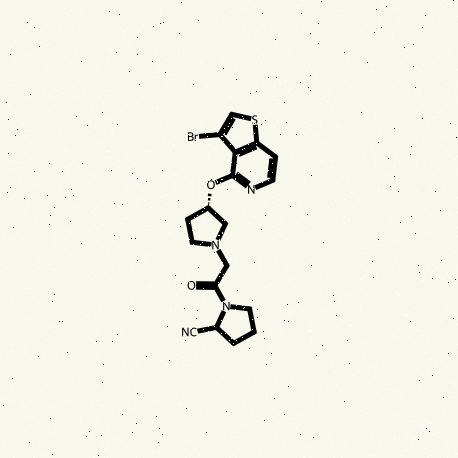 N#CC1CCCN1C(=O)CN1CC[C@H](Oc2nccc3scc(Br)c23)C1